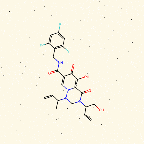 C=CC(CO)N1CN(C(C)C=C)n2cc(C(=O)NCc3c(F)cc(F)cc3F)c(=O)c(O)c2C1=O